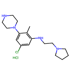 Cc1c(NCCN2CCCC2)cc(Cl)cc1N1CCNCC1.Cl